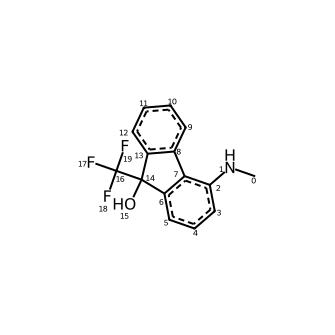 CNc1cccc2c1-c1ccccc1C2(O)C(F)(F)F